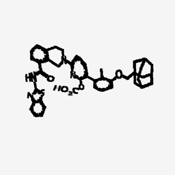 Cc1c(OCC23CC4CC(CC(C4)C2)C3)cccc1-c1ccc(N2CCc3cccc(C(=O)Nc4nc5ccccc5s4)c3C2)nc1OC(=O)O